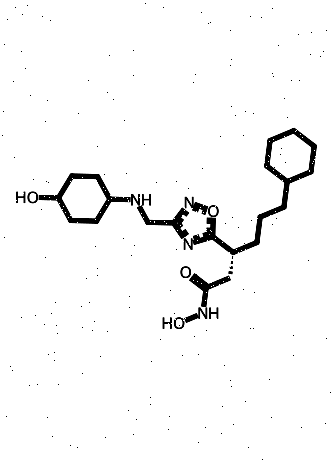 O=C(C[C@@H](CCCC1CCCCC1)c1nc(CNC2CCC(O)CC2)no1)NO